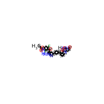 CCCS(=O)(=O)Nc1ccc(F)c(C(=O)c2c[nH]c3ncc(-c4ccc(Bc5cccc6c5C(=O)N(C5CCC(=O)NC5=O)C6)cc4)cc23)c1F